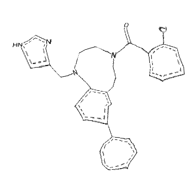 O=C(c1ccccc1Cl)N1CCN(Cc2c[nH]cn2)c2ccc(-c3ccccc3)cc2C1